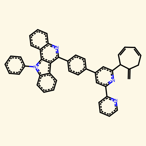 C=C1CC=CC=CC1c1cc(-c2ccc(-c3nc4ccccc4c4c3c3ccccc3n4-c3ccccc3)cc2)cc(-c2ccccn2)n1